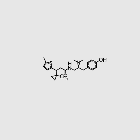 Cc1ccc(C(CC(=O)NCC(Cc2ccc(O)cc2)N(C)C)C2(C(F)(F)F)CC2)s1